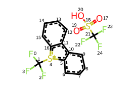 FC(F)(F)[s+]1c2ccccc2c2ccccc21.O=S(=O)(O)C(F)(F)F